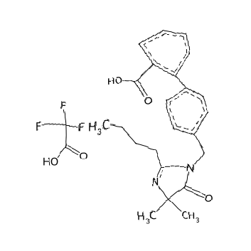 CCCCC1=NC(C)(C)C(=O)N1Cc1ccc(-c2ccccc2C(=O)O)cc1.O=C(O)C(F)(F)F